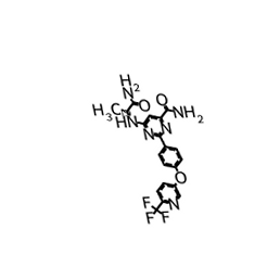 C[C@H](Nc1cc(C(N)=O)nc(-c2ccc(Oc3ccc(C(F)(F)F)nc3)cc2)n1)C(N)=O